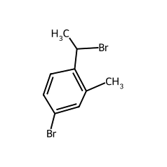 Cc1cc(Br)ccc1C(C)Br